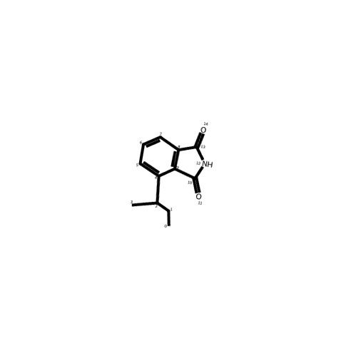 CCC(C)c1cccc2c1C(=O)NC2=O